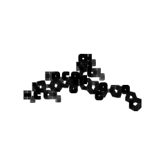 Cc1nc(C(=O)N2Cc3cc4c(cc3C[C@H]2C(=O)N[C@@H](Cc2ccc(-c3ccnc(C)c3C)cc2)C(=O)O)OC[C@H](c2ccc(OC3Cc5ccccc5C3)cc2)O4)c(C)o1